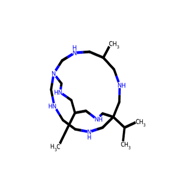 CC1CNCN2CNCCNCC(C(C)C)(CNC1)CNCC(C)CNC2